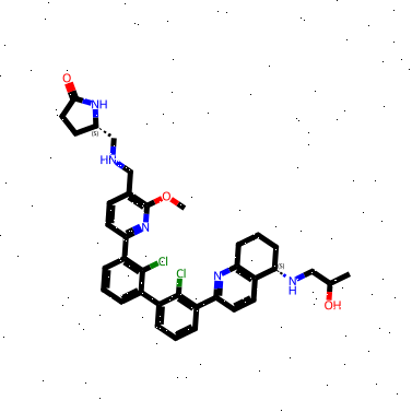 COc1nc(-c2cccc(-c3cccc(-c4ccc5c(n4)CCC[C@@H]5NCC(C)O)c3Cl)c2Cl)ccc1CNC[C@@H]1CCC(=O)N1